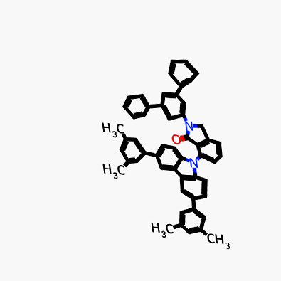 Cc1cc(C)cc(-c2ccc3c(c2)c2cc(-c4cc(C)cc(C)c4)ccc2n3-c2cccc3c2C(=O)N(c2cc(-c4ccccc4)cc(-c4ccccc4)c2)C3)c1